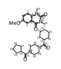 COc1ccc2c(c1)c(=O)n(C[C@H]1CC[C@H](C(=O)N3CCN(C(=O)C4CCCC4)CC3)CC1)c(=O)n2C